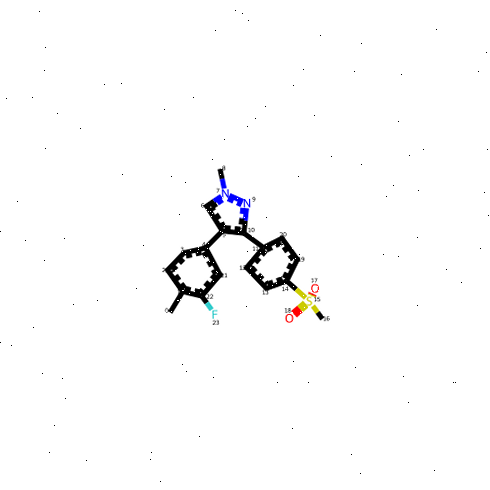 Cc1ccc(-c2cn(C)nc2-c2ccc(S(C)(=O)=O)cc2)cc1F